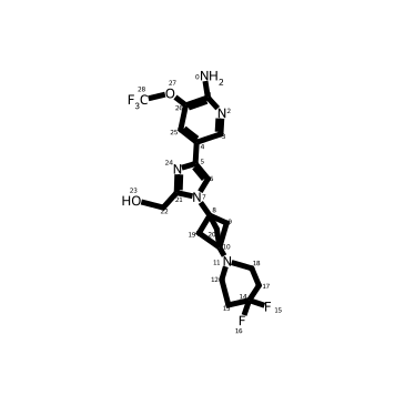 Nc1ncc(-c2cn(C34CC(N5CCC(F)(F)CC5)(C3)C4)c(CO)n2)cc1OC(F)(F)F